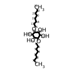 CCCCCCCCO[C@H]1[C@H](O)[C@@H](O)[C@H](OCCCCCCCC)[C@@H](O)[C@H]1O